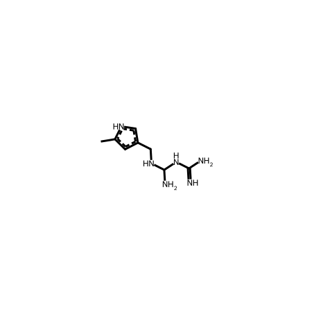 Cc1cc(CNC(N)NC(=N)N)c[nH]1